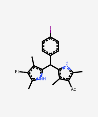 CCc1c(C)[nH]c(C(c2ccc(I)cc2)c2[nH]c(C)c(C(C)=O)c2C)c1C